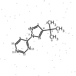 CC(C)(C)c1cnn(-c2ccncn2)c1